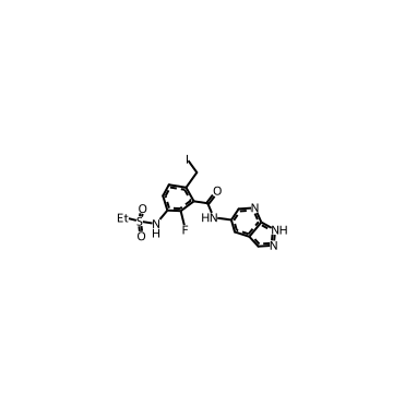 CCS(=O)(=O)Nc1ccc(CI)c(C(=O)Nc2cnc3[nH]ncc3c2)c1F